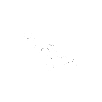 CC(NC(=O)c1cnn(CCN2CCC(F)(C(=O)O)CC2)c1OCC1CCCCC1)C1CC2CCCC(C2)C1